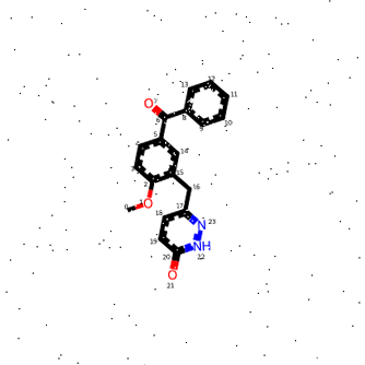 COc1ccc(C(=O)c2ccccc2)cc1Cc1ccc(=O)[nH]n1